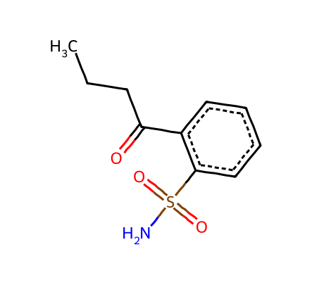 CCCC(=O)c1ccccc1S(N)(=O)=O